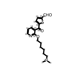 CN(C)CCCCCCOc1ncccc1C(=O)c1ccc(C=O)s1